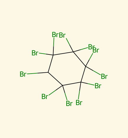 BrC1C(Br)(Br)C(Br)(Br)C(Br)(Br)C(Br)(Br)C1(Br)Br